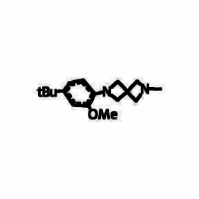 COc1cc(C(C)(C)C)ccc1N1CC2(CN(C)C2)C1